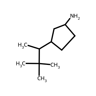 CC(C1CCC(N)C1)C(C)(C)C